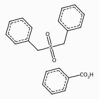 O=C(O)c1ccccc1.O=S(=O)(Cc1ccccc1)Cc1ccccc1